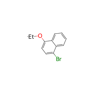 C[CH]Oc1ccc(Br)c2ccccc12